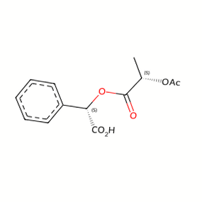 CC(=O)O[C@@H](C)C(=O)O[C@H](C(=O)O)c1ccccc1